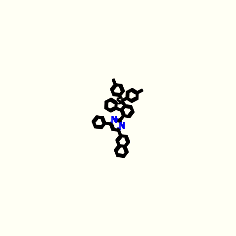 Cc1ccc([Si]2(c3ccc(C)cc3)c3ccccc3-c3c(-c4nc(-c5ccccc5)cc(-c5ccc6ccccc6c5)n4)cccc32)cc1